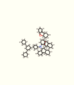 c1ccc(-c2cc(-c3ccccc3)cc(-c3ccc(N(c4ccc(-c5cccc6c5oc5ccccc56)cc4)c4c(-c5cccc6ccccc56)c5ccccc5c5ccccc45)cc3)c2)cc1